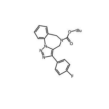 CC(C)(C)OC(=O)N1Cc2ccccc2-n2nnc(-c3ccc(F)cc3)c2C1